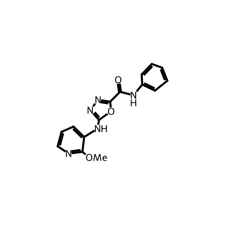 COc1ncccc1Nc1nnc(C(=O)Nc2ccccc2)o1